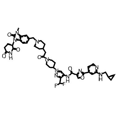 Cn1c(=O)n(C2CCC(=O)NC2=O)c2ccc(CN3CCC(CC(=O)N4CCC(n5cc(NC(=O)c6coc(-c7ccnc(NCC8CC8)c7)n6)c(C(F)F)n5)CC4)CC3)cc21